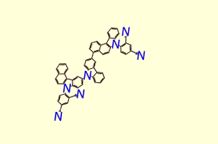 N#Cc1ccc(-n2c3ccc(-n4c5ccccc5c5cc(-c6cccc7c6ccc6c7c7ccccc7n6-c6ccc(C#N)cc6C#N)ccc54)cc3c3c4ccccc4ccc32)c(C#N)c1